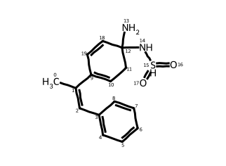 CC(=Cc1ccccc1)C1=CCC(N)(N[SH](=O)=O)C=C1